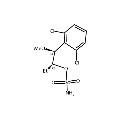 CC[C@H](OS(N)(=O)=O)[C@@H](OC)c1c(Cl)cccc1Cl